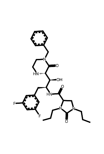 CCCN1CC(C(=O)N[C@@H](Cc2cc(F)cc(F)c2)[C@H](O)[C@@H]2NCCN(Cc3ccccc3)C2=O)N(CCC)C1=O